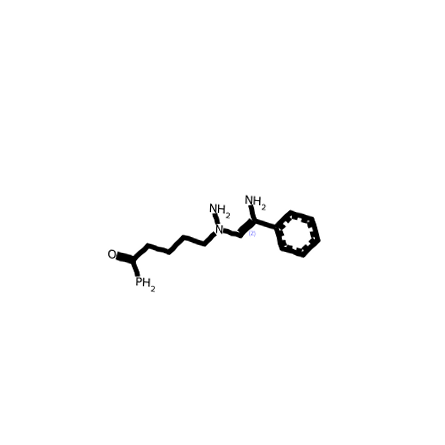 N/C(=C\N(N)CCCCC(=O)P)c1ccccc1